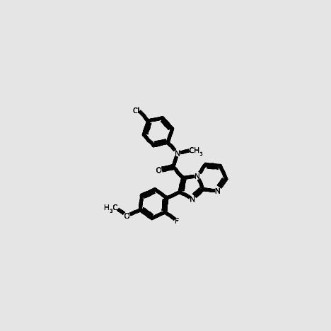 COc1ccc(-c2nc3ncccn3c2C(=O)N(C)c2ccc(Cl)cc2)c(F)c1